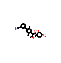 COC1CCC(C)(/C(O)=C(\C(C)=O)c2cc(C)c(-c3cccc(C#N)c3)cc2C)CC1